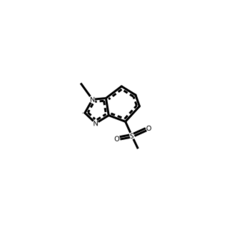 Cn1[c]nc2c(S(C)(=O)=O)cccc21